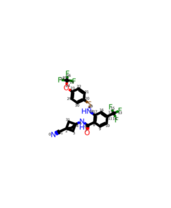 N#CC12CC(NC(=O)c3ccc(C(F)(F)F)cc3NSc3ccc(OC(F)(F)F)cc3)(C1)C2